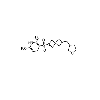 CC1=C(S(=O)(=O)N2CC3(CN(CC4CCOC4)C3)C2)CC=C(C(F)(F)F)N1